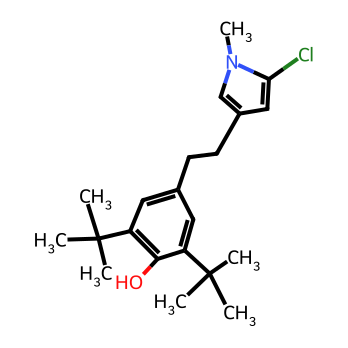 Cn1cc(CCc2cc(C(C)(C)C)c(O)c(C(C)(C)C)c2)cc1Cl